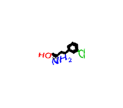 N[C@H](CO)CCc1cccc(Cl)c1